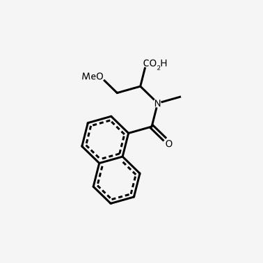 COCC(C(=O)O)N(C)C(=O)c1cccc2ccccc12